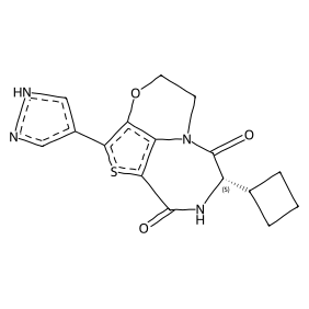 O=C1N[C@@H](C2CCC2)C(=O)N2CCOc3c(-c4cn[nH]c4)sc1c32